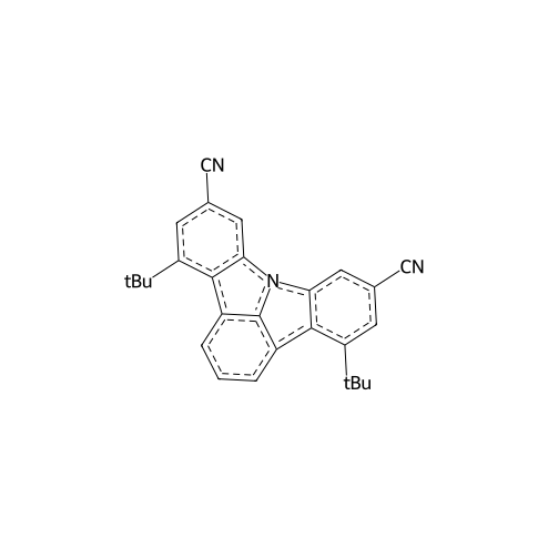 CC(C)(C)c1cc(C#N)cc2c1c1cccc3c4c(C(C)(C)C)cc(C#N)cc4n2c13